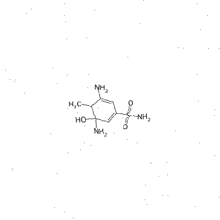 CC1C(N)=CC(S(N)(=O)=O)=CC1(N)O